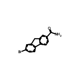 NC(=O)c1ccc2c(c1)Cc1cc(Br)ccc1-2